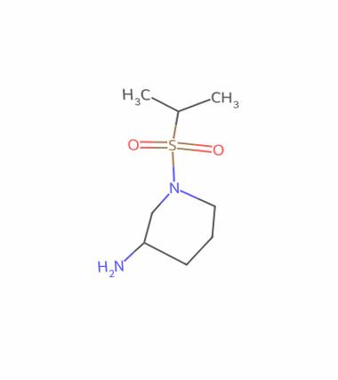 CC(C)S(=O)(=O)N1CCCC(N)C1